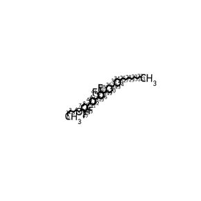 C/C=C\CCOc1ccc(-c2ccc(-c3ccc(C4CCC(C5CCC(CCCCCCCC)CC5)CC4)c(F)c3F)cc2)c(F)c1F